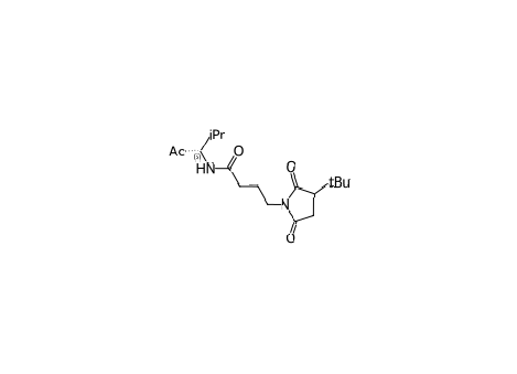 CC(=O)[C@@H](NC(=O)CCCN1C(=O)CC(C(C)(C)C)C1=O)C(C)C